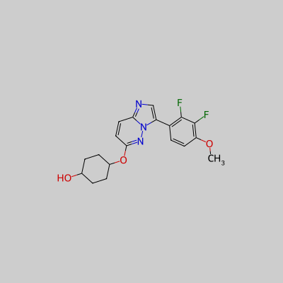 COc1ccc(-c2cnc3ccc(OC4CCC(O)CC4)nn23)c(F)c1F